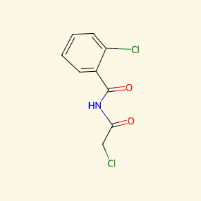 O=C(CCl)NC(=O)c1ccccc1Cl